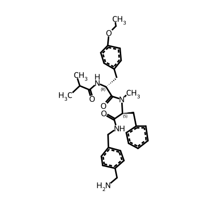 CCOc1ccc(C[C@@H](NC(=O)C(C)C)C(=O)N(C)[C@@H](Cc2ccccc2)C(=O)NCc2ccc(CN)cc2)cc1